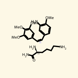 COc1ccc(/C=C\c2cc(OC)c(OC)c(OC)c2)cc1N.NCCCC[C@H](N)C(N)=O